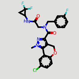 Cn1nc(C(=O)N(CC(=O)NC2CC2(F)F)Cc2cccc(F)c2)c2c1-c1cc(Cl)ccc1OC2